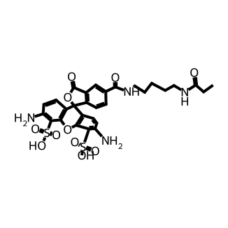 CCC(=O)NCCCCCNC(=O)c1ccc2c(c1)C(=O)OC21c2ccc(N)c(S(=O)(=O)O)c2Oc2c1ccc(N)c2S(=O)(=O)O